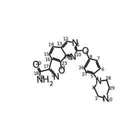 CN1CCN(c2ccc(Oc3ncc4ccc5c(C(N)=O)noc5c4n3)cc2)CC1